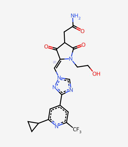 NC(=O)CC1C(=O)/C(=C/n2cnc(-c3cc(C4CC4)nc(C(F)(F)F)c3)n2)N(CCO)C1=O